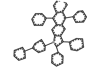 c1ccc(-c2ccc(-n3c(-c4ccccc4)c(-c4ccccc4)c4cc5c(-c6ccccc6)c6ccccc6c(-c6ccccc6)c5cc43)cc2)cc1